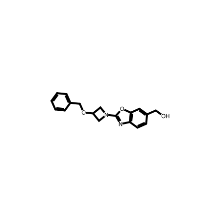 OCc1ccc2nc(N3CC(OCc4ccccc4)C3)oc2c1